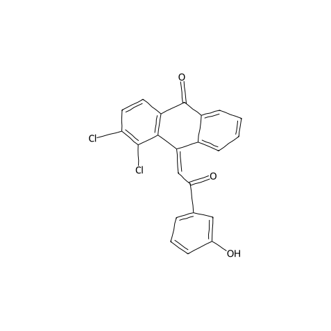 O=C(/C=C1\c2ccccc2C(=O)c2ccc(Cl)c(Cl)c21)c1cccc(O)c1